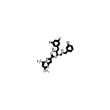 CCc1cccc(CNC[C@@H](OC(=O)c2cc3nc(C)cc(C(F)(F)F)n3n2)[C@@H](N)Cc2cc(F)cc(F)c2)c1